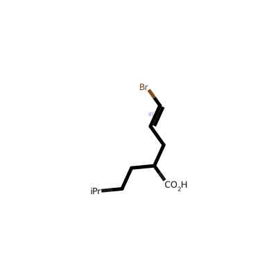 CC(C)CCC(C/C=C/Br)C(=O)O